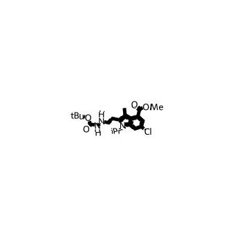 COC(=O)c1cc(Cl)cc2c1c(C)c(CCNNC(=O)OC(C)(C)C)n2C(C)C